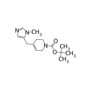 Cn1cncc1CC1=CCN(C(=O)OC(C)(C)C)CC1